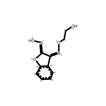 OCCON=C1C(=NO)Oc2ccccc21